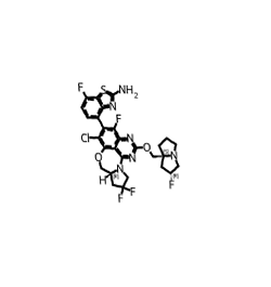 Nc1nc2c(-c3c(Cl)c4c5c(nc(OC[C@@]67CCCN6C[C@H](F)C7)nc5c3F)N3CC(F)(F)C[C@@H]3CO4)ccc(F)c2s1